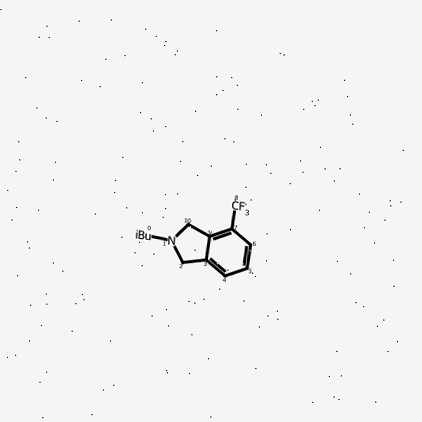 CCC(C)N1Cc2cccc(C(F)(F)F)c2C1